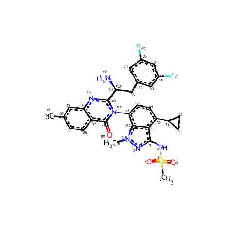 Cn1nc(NS(C)(=O)=O)c2c(C3CC3)ccc(-n3c([C@@H](N)Cc4cc(F)cc(F)c4)nc4cc(C#N)ccc4c3=O)c21